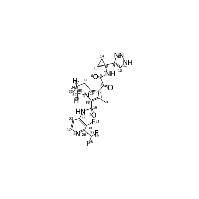 Cc1c(C(=O)C(=O)NC2(c3c[nH]nn3)CC2)c2n(c1C(=O)Nc1ccnc(C(F)F)c1F)[C@@H]1C[C@@H]1C2